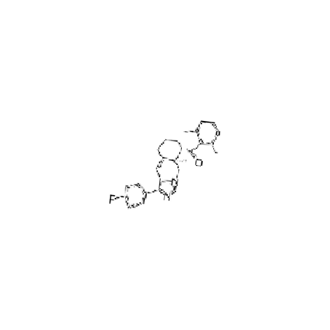 Cc1cccc(C)c1C(=O)[C@H]1CCCC2=Cc3c(-c4ccc(F)cc4)ncn3C[C@@]21C